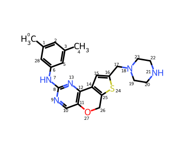 Cc1cc(C)cc(Nc2ncc3c(n2)-c2cc(CN4CCNCC4)sc2CO3)c1